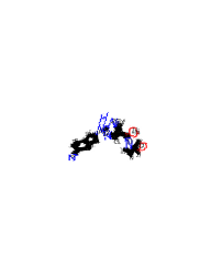 N#Cc1ccc2c(c1)CC(Nc1ncc(C(=O)N3CCC34COC4)cn1)C2